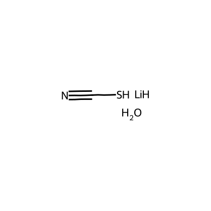 N#CS.O.[LiH]